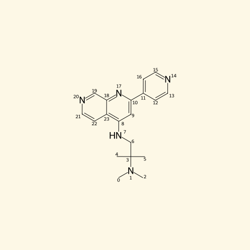 CN(C)C(C)(C)CNc1cc(-c2ccncc2)nc2cnccc12